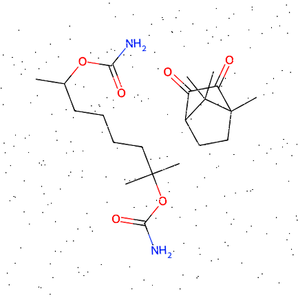 CC(CCCCC(C)(C)OC(N)=O)OC(N)=O.CC12CCC(C(=O)C1=O)C2(C)C